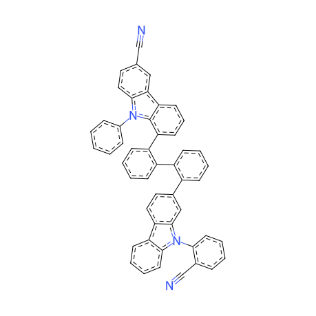 N#Cc1ccc2c(c1)c1cccc(-c3ccccc3-c3ccccc3-c3ccc4c5ccccc5n(-c5ccccc5C#N)c4c3)c1n2-c1ccccc1